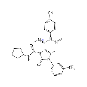 C=NN(/C(=N/C)c1c(C)n(-c2cccc(C(F)(F)F)c2)c(=O)n1C(=O)NC1CCCC1)c1ccc(C#N)cc1